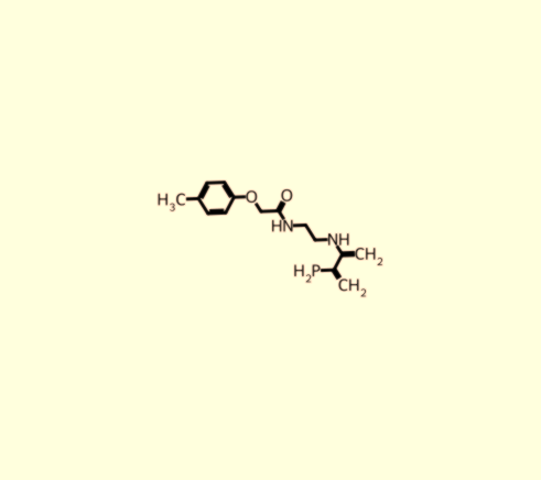 C=C(P)C(=C)NCCNC(=O)COc1ccc(C)cc1